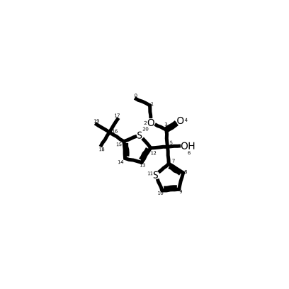 CCOC(=O)C(O)(c1cccs1)c1ccc(C(C)(C)C)s1